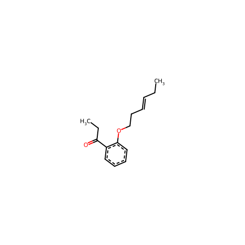 CCC=CCCOc1ccccc1C(=O)CC